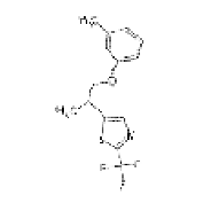 Cc1cccc(OCC(C)c2cnc(C(F)(F)F)s2)c1